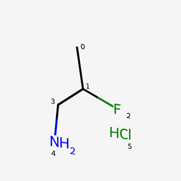 CC(F)CN.Cl